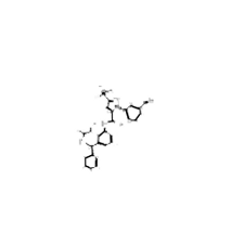 CC(CO)NC(c1ccccc1)c1cccc(NC(=O)c2cc(C(F)(F)F)nn2-c2cccc(C#N)c2)c1